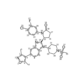 Cc1noc(C)c1-c1ccc2c(c1)nc([C@@H]1CCC(=O)N1c1ccc(Cl)c(F)c1)n2C1CCN(S(C)(=O)=O)CC1